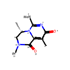 CNc1nc(=O)c(C)c2n1[C@@H](C)CN(C(C)C)C2=O